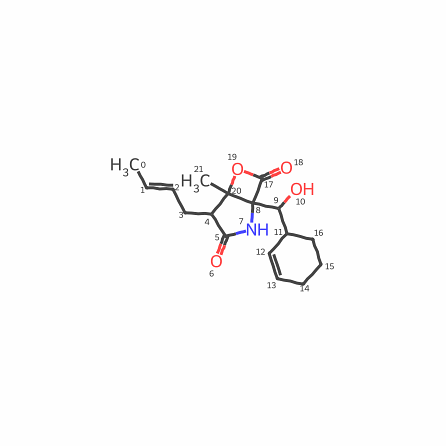 C/C=C/CC1C(=O)NC2(C(O)C3C=CCCC3)C(=O)OC12C